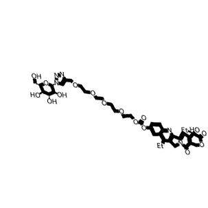 CCc1c2c(nc3ccc(OC(=O)OCCOCCOCCOCCOCc4cn([C@H]5O[C@@H](CO)[C@H](O)[C@@H](O)[C@@H]5O)nn4)cc13)-c1cc3c(c(=O)n1C2)COC(=O)[C@]3(O)CC